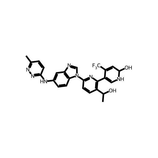 Cc1ccc(Nc2ccc3c(c2)ncn3-c2ccc(C(C)O)c(C3=CNC(O)C=C3C(F)(F)F)n2)nn1